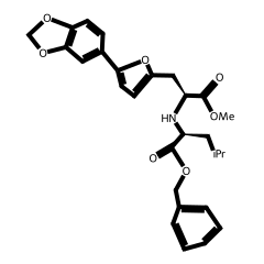 COC(=O)[C@H](Cc1ccc(-c2ccc3c(c2)OCO3)o1)N[C@@H](CC(C)C)C(=O)OCc1ccccc1